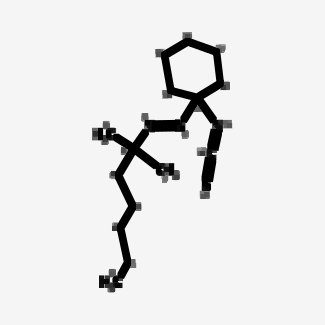 CCCCCC(C)(C)N=NC1(N=C=S)CCCCC1